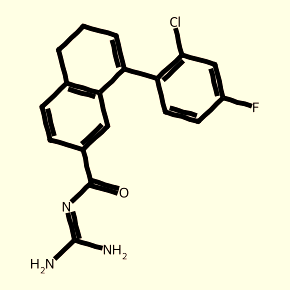 NC(N)=NC(=O)c1ccc2c(c1)C(c1ccc(F)cc1Cl)=CCC2